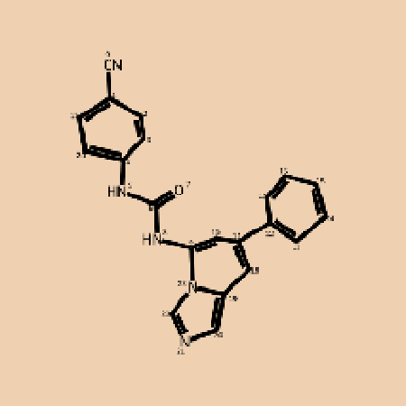 N#Cc1ccc(NC(=O)Nc2cc(-c3ccccc3)cc3cncn23)cc1